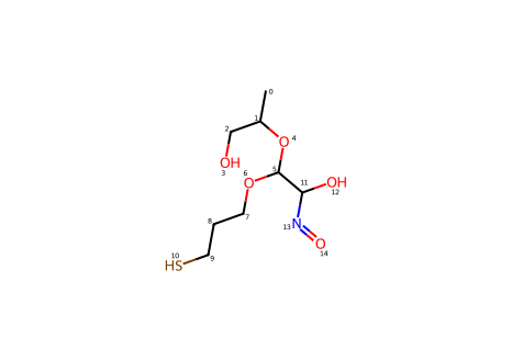 CC(CO)OC(OCCCS)C(O)N=O